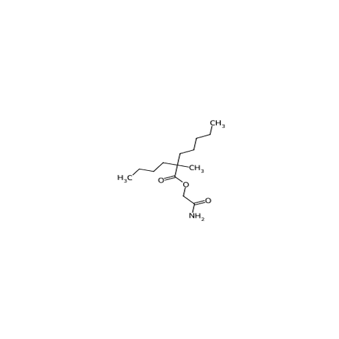 CCCCCC(C)(CCCC)C(=O)OCC(N)=O